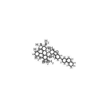 Bc1c(B)c(B)c2c(-c3ccc4oc5cc(-c6ccc7c(ccc8ccccc87)c6)ccc5c4c3)c3c(B)c(B)c(B)c(B)c3c(-c3ccccc3)c2c1B